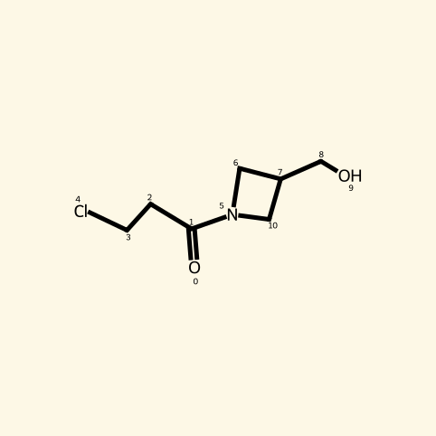 O=C(CCCl)N1CC(CO)C1